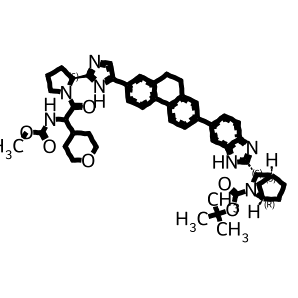 COC(=O)NC(C(=O)N1CCC[C@H]1c1ncc(-c2ccc3c(c2)CCc2cc(-c4ccc5nc([C@@H]6[C@H]7CC[C@H](C7)N6C(=O)OC(C)(C)C)[nH]c5c4)ccc2-3)[nH]1)C1CCOCC1